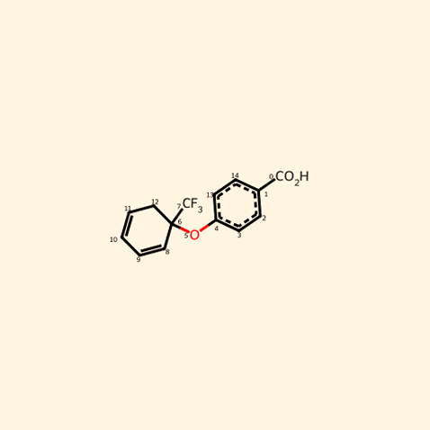 O=C(O)c1ccc(OC2(C(F)(F)F)C=CC=CC2)cc1